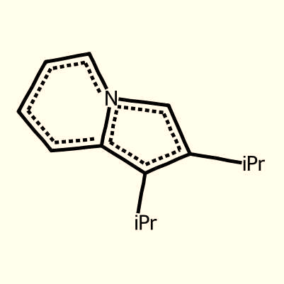 CC(C)c1cn2ccccc2c1C(C)C